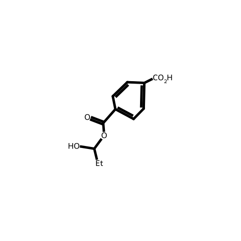 CCC(O)OC(=O)c1ccc(C(=O)O)cc1